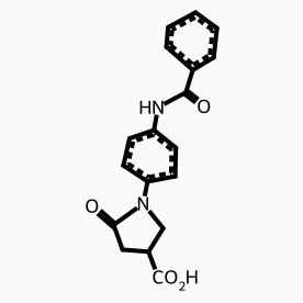 O=C(Nc1ccc(N2CC(C(=O)O)CC2=O)cc1)c1ccccc1